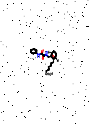 O=C(O)CCCCCC[C@@H]1[C@@H](CNC(=O)C(=O)Nc2ccccc2)[C@H]2CC[C@@H]1O2